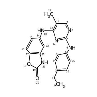 CCc1ccc(Nc2ncc(C)c(Nc3ccc4oc(=O)[nH]c4c3)n2)cc1